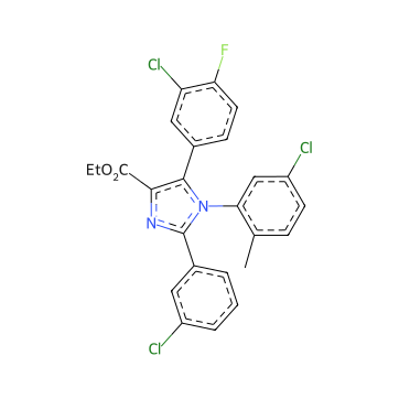 CCOC(=O)c1nc(-c2cccc(Cl)c2)n(-c2cc(Cl)ccc2C)c1-c1ccc(F)c(Cl)c1